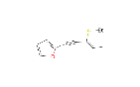 C/C=C(/C#Cc1ccco1)SCC